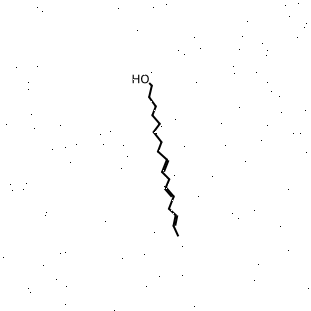 CC=CCC=CCC=CCCCCCCCCO